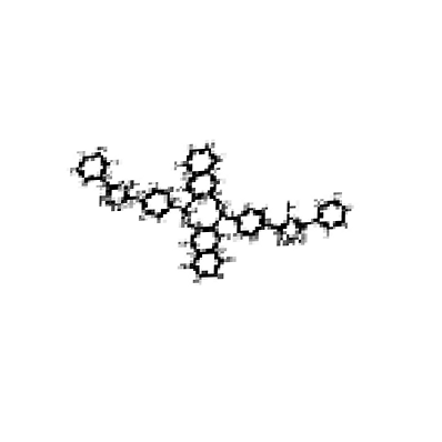 c1ccc(-c2nnc(-c3ccc(/C4=N/c5cc6ccccc6cc5/C(c5ccc(-c6nnc(-c7ccccc7)[nH]6)cc5)=N\c5cc6ccccc6cc54)cc3)[nH]2)cc1